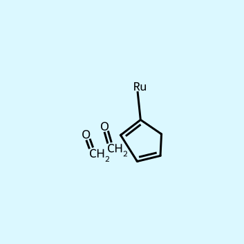 C=O.C=O.[Ru][C]1=CC=CC1